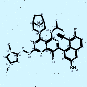 C#Cc1c(F)ccc2cc(N)cc(-c3nc(OC(C)C)c4c(N5CC6CCC(C5)N6)nc(OC[C@@H]5C[C@H](F)CN5C)nc4c3F)c12